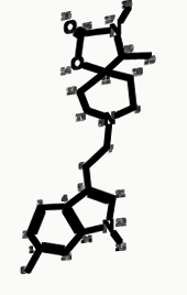 Cc1ccc2c(CCN3CCC4(CC3)OC(=O)N(C)C4C)cn(C)c2c1